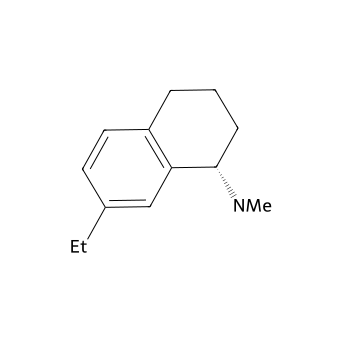 CCc1ccc2c(c1)[C@@H](NC)CCC2